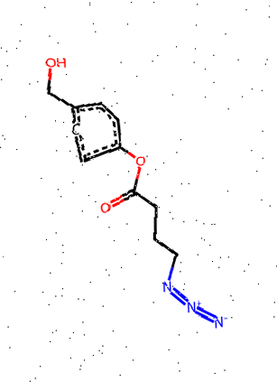 [N-]=[N+]=NCCCC(=O)Oc1ccc(CO)cc1